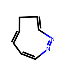 C1=C\N=N/C=C/C/C=C/1